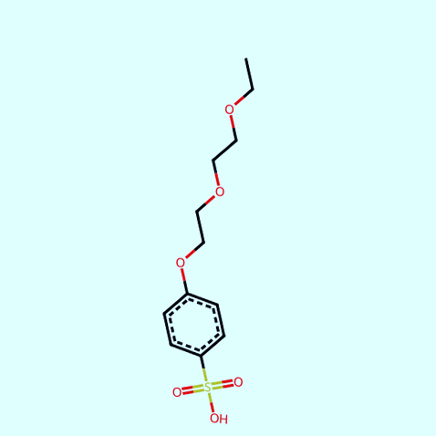 CCOCCOCCOc1ccc(S(=O)(=O)O)cc1